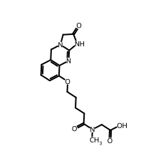 CN(CC(=O)O)C(=O)CCCCOc1cccc2c1N=C1NC(=O)CN1C2